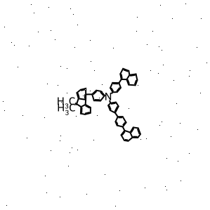 CC1(C)c2ccccc2-c2c(-c3ccc(N(c4ccc(-c5ccc(-c6cccc7ccccc67)cc5)cc4)c4ccc(-c5cccc6ccccc56)cc4)cc3)cccc21